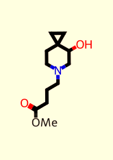 COC(=O)CCCN1CCC2(CC2)C(O)C1